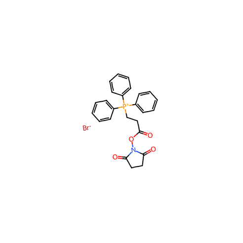 O=C(CC[P+](c1ccccc1)(c1ccccc1)c1ccccc1)ON1C(=O)CCC1=O.[Br-]